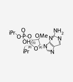 COC1[C@@H](OP(=O)(O)OC(C)C)[C@@H](CC(C)C)O[C@H]1n1cnc2cnc(N)nc21